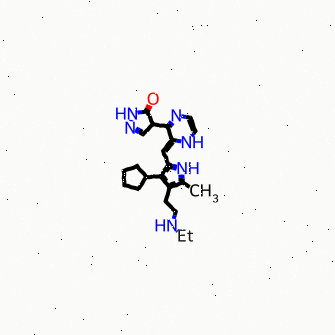 CCNCCc1c(C)[nH]c(C=C2NC=CN=C2C2C=NNC2=O)c1C1CCCC1